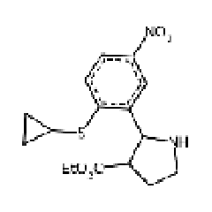 CCOC(=O)C1CCNC1c1cc([N+](=O)[O-])ccc1SC1CC1